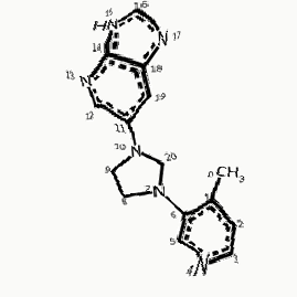 Cc1ccncc1N1CCN(c2cnc3[nH]cnc3c2)C1